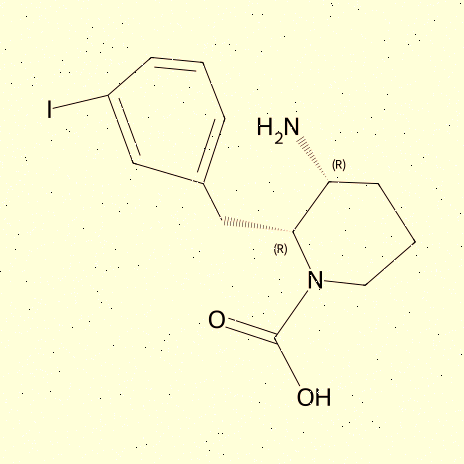 N[C@@H]1CCCN(C(=O)O)[C@@H]1Cc1cccc(I)c1